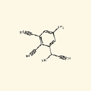 C#Cc1cc(C)cc(C(O)C#C)c1C#C